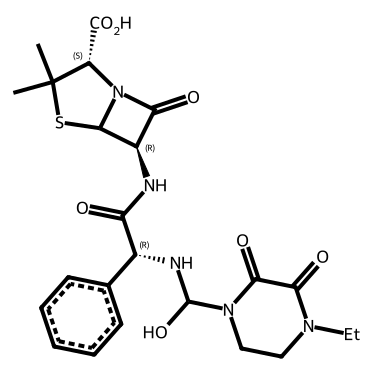 CCN1CCN(C(O)N[C@@H](C(=O)N[C@@H]2C(=O)N3C2SC(C)(C)[C@@H]3C(=O)O)c2ccccc2)C(=O)C1=O